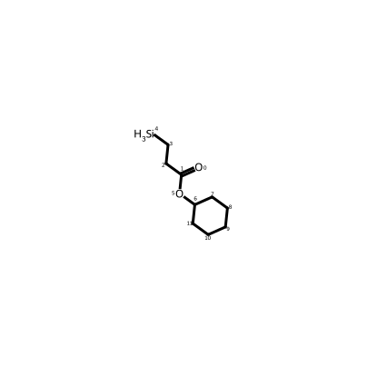 O=C(CC[SiH3])OC1CCCCC1